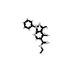 CCOC(=O)c1cnc2c(c(C)nn2-c2ccccc2)c1I